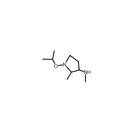 CNC1CCN(OC(C)C)C1C